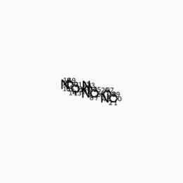 c1ccc2nc(-c3ccc4nc(-c5ccc6cnccc6c5)ncc4c3)ccc2c1